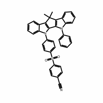 CC1(C)c2c(n(-c3ccccc3)c3ccccc23)-c2c1c1ccccc1n2-c1ccc(S(=O)(=O)c2ccc(C#N)cc2)cc1